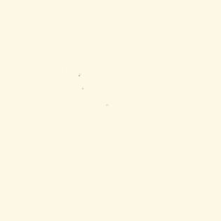 CCOC(=O)[C@@]1(F)[C@@H]2C[C@@H](OC(=O)c3ccc(Cl)c(Cl)c3)C(=O)[C@@H]21